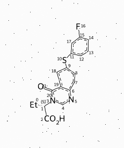 CC[C@@H](C(=O)O)n1cnc2ccc(Sc3cccc(F)c3)cc2c1=O